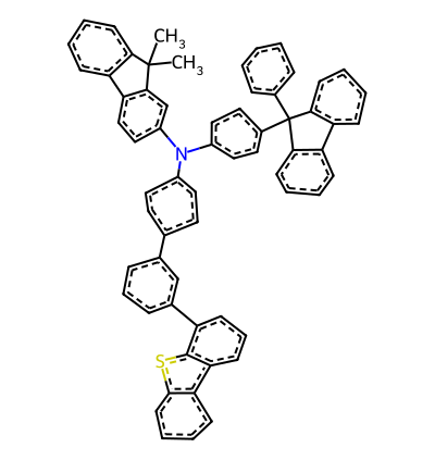 CC1(C)c2ccccc2-c2ccc(N(c3ccc(-c4cccc(-c5cccc6c5sc5ccccc56)c4)cc3)c3ccc(C4(c5ccccc5)c5ccccc5-c5ccccc54)cc3)cc21